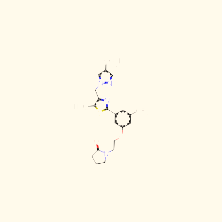 Cc1sc(-c2cc(OCCN3CCCC3=O)cc(C(F)(F)F)c2)nc1Cn1cc(C(=O)O)cn1